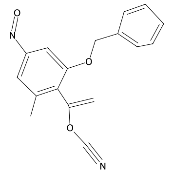 C=C(OC#N)c1c(C)cc(N=O)cc1OCc1ccccc1